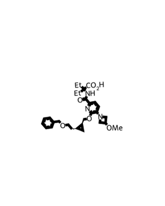 CCC(CC)(NC(=O)c1ccc(N2CC(OC)C2)c(OC[C@H]2C[C@@H]2CCOCc2ccccc2)n1)C(=O)O